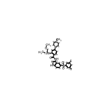 CC[C@H](COC)Nc1cc(N2CCN(C)CC2)ccc1C(=O)Nc1n[nH]c2ccc(S(=O)(=O)c3cc(F)cc(F)c3)cc12